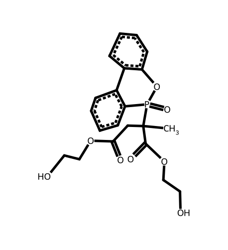 CC(CC(=O)OCCO)(C(=O)OCCO)P1(=O)Oc2ccccc2-c2ccccc21